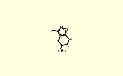 Cc1noc2c1CC(C(C)(C)C)CC2